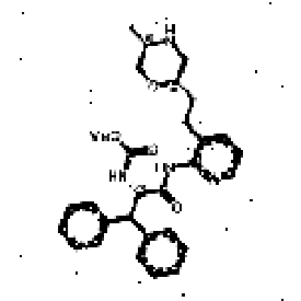 COC(=O)N[C@H](C(=O)Nc1ccccc1CC[C@@H]1CN[C@H](C)CO1)C(c1ccccc1)c1ccccc1